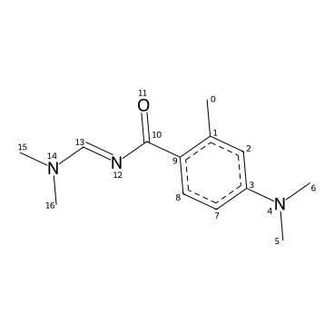 Cc1cc(N(C)C)ccc1C(=O)N=CN(C)C